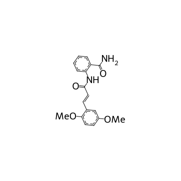 COc1ccc(OC)c(/C=C/C(=O)Nc2ccccc2C(N)=O)c1